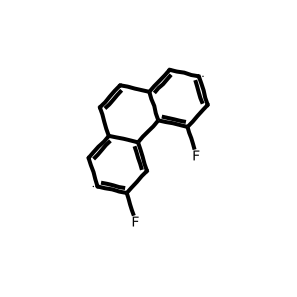 Fc1[c]cc2ccc3c[c]cc(F)c3c2c1